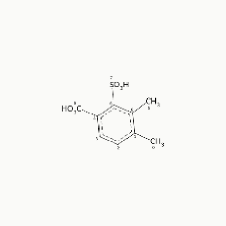 Cc1ccc(C(=O)O)c(S(=O)(=O)O)c1C